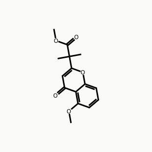 COC(=O)C(C)(C)c1cc(=O)c2c(OC)cccc2o1